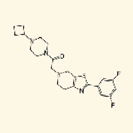 O=C(CN1CCc2nc(-c3cc(F)cc(F)c3)sc2C1)N1CCN(C2CCC2)CC1